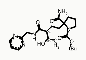 C[C@@H](O)[C@H](CCC1(C(N)=O)CCCN1C(=O)OC(C)(C)C)C(=O)NCc1ncccn1